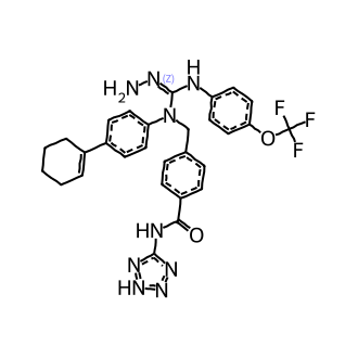 N/N=C(/Nc1ccc(OC(F)(F)F)cc1)N(Cc1ccc(C(=O)Nc2nn[nH]n2)cc1)c1ccc(C2=CCCCC2)cc1